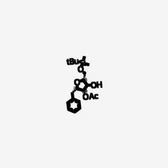 CC(=O)O[C@H]1C(O)[C@@H](CO[Si](C)(C)C(C)(C)C)O[C@H]1Cc1ccccc1